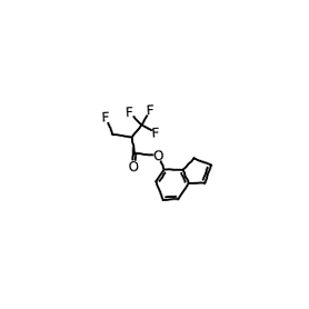 O=C(Oc1cccc2c1CC=C2)C(CF)C(F)(F)F